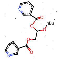 CCCCOC(COC(=O)c1cccnc1)OC(=O)c1cccnc1